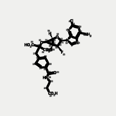 Nc1nc(Cl)nc2c1ncn2[C@@H]1O[C@@H]2C(OC(Cc3ccc(C(=O)NCCC(=O)O)cc3)(C(=O)O)C(=O)O)[C@]2(O)[C@@H]1F